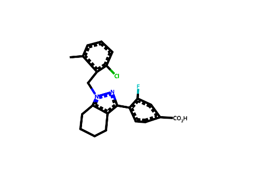 Cc1cccc(Cl)c1Cn1nc(-c2ccc(C(=O)O)cc2F)c2c1CCCC2